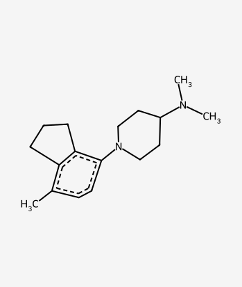 Cc1ccc(N2CCC(N(C)C)CC2)c2c1CCC2